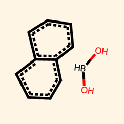 OBO.c1ccc2ccccc2c1